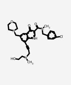 CN(CC#Cc1cc(CN2CCOCC2)cc2c(=O)c(C(=O)N(C)Cc3ccc(Cl)cc3)c[nH]c12)CCO